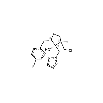 C[C@@]1(CCl)CC[C@@H](Cc2ccc(F)cc2)[C@]1(O)Cn1cncn1